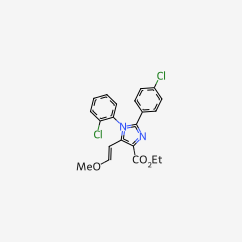 CCOC(=O)c1nc(-c2ccc(Cl)cc2)n(-c2ccccc2Cl)c1C=COC